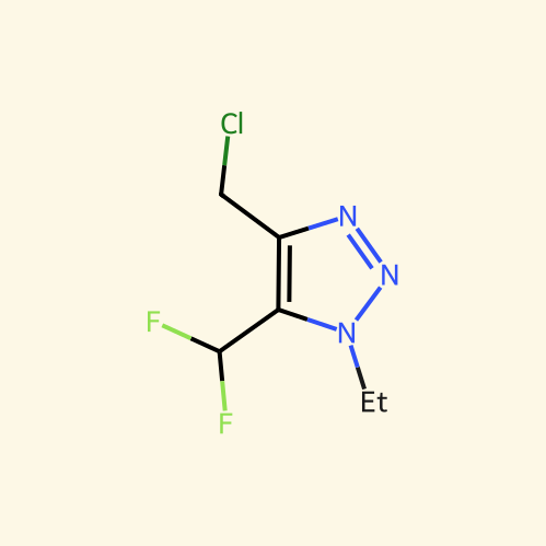 CCn1nnc(CCl)c1C(F)F